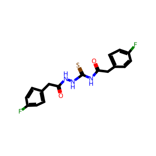 O=C(Cc1ccc(F)cc1)NNC(=S)NC(=O)Cc1ccc(F)cc1